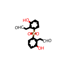 O=CCc1c(O)cccc1S(=O)(=O)c1cccc(O)c1CC=O